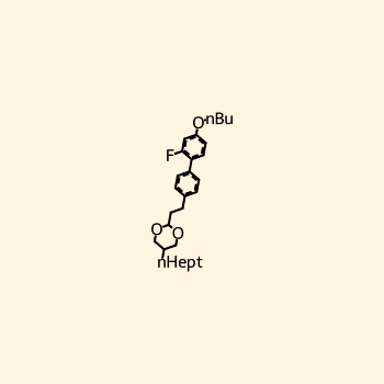 CCCCCCCC1COC(CCc2ccc(-c3ccc(OCCCC)cc3F)cc2)OC1